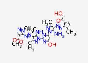 CNc1c(/N=N/c2c(C(=O)OC)cnn2C)c(C)nn1-c1nc(O)cc(-n2nc(C)c(/N=N/C3=C(C(=O)CO)C=CC3C)c2N)n1